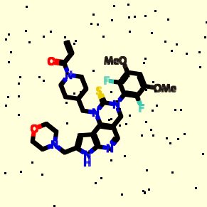 C=CC(=O)N1CCC(CN2C(=S)N(c3c(F)c(OC)cc(OC)c3F)Cc3cnc4[nH]c(CN5CCOCC5)cc4c32)CC1